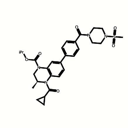 CC(C)OC(=O)N1C[C@H](C)N(C(=O)C2CC2)c2ccc(-c3ccc(C(=O)N4CCN(S(C)(=O)=O)CC4)cc3)cc21